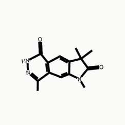 Cc1n[nH]c(=O)c2cc3c(cc12)N(C)C(=O)C3(C)C